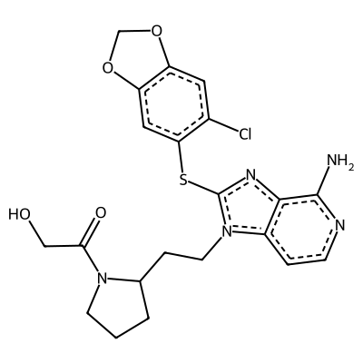 Nc1nccc2c1nc(Sc1cc3c(cc1Cl)OCO3)n2CCC1CCCN1C(=O)CO